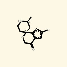 C[C@H]1C[C@@]2(CCN1)OCC(=O)c1cc(Cl)sc12